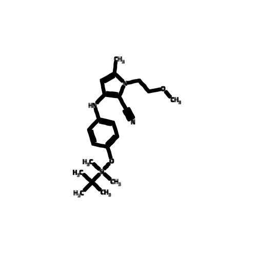 COCCn1c(C)cc(Nc2ccc(O[Si](C)(C)C(C)(C)C)cc2)c1C#N